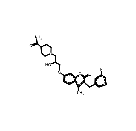 Cc1c(Cc2cccc(F)c2)c(=O)oc2cc(OCC(O)CN3CCC(C(N)=O)CC3)ccc12